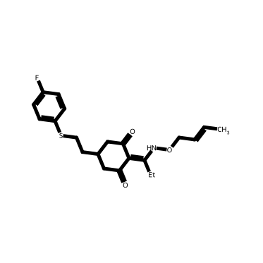 C/C=C/CONC(CC)=C1C(=O)CC(CCSc2ccc(F)cc2)CC1=O